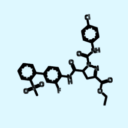 CCOC(=O)C1=NN(C(=O)Nc2ccc(Cl)cc2)C(C(=O)Nc2ccc(-c3ccccc3S(C)(=O)=O)cc2F)C1